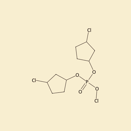 O=P(OCl)(OC1CCC(Cl)C1)OC1CCC(Cl)C1